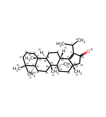 CC(C)C1=C2[C@H]3CC[C@@H]4[C@@]5(C)CCCC(C)(C)[C@@H]5CC[C@@]4(C)[C@]3(C)CC[C@@]2(C)CC1=O